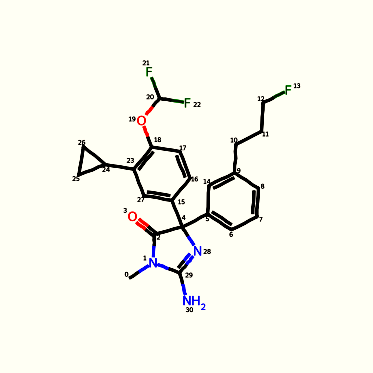 CN1C(=O)C(c2cccc(CCCF)c2)(c2ccc(OC(F)F)c(C3CC3)c2)N=C1N